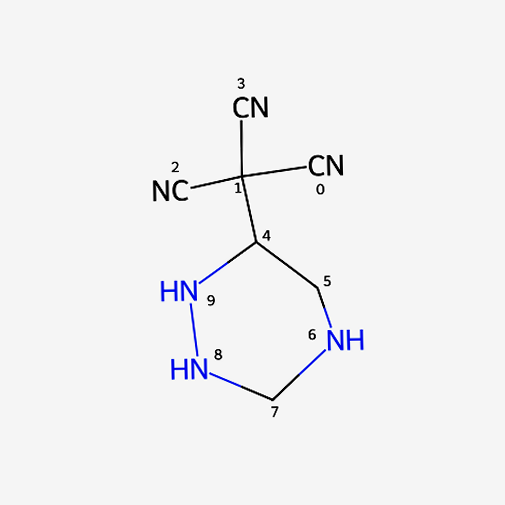 N#CC(C#N)(C#N)C1CNCNN1